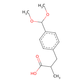 COC(OC)c1ccc(CC(C)C(=O)O)cc1